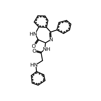 O=C(CNc1ccccc1)NC1N=C(c2ccccc2)c2ccccc2NC1=O